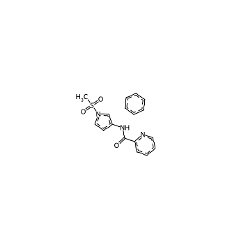 CS(=O)(=O)n1ccc(NC(=O)c2ccccn2)c1.c1ccccc1